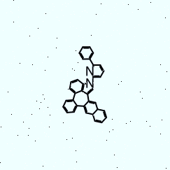 C1=CC2C=C3C(=CC2C=C1)c1cn(-c2cccc(-c4ccccc4)n2)c2cccc(c12)-c1ccccc13